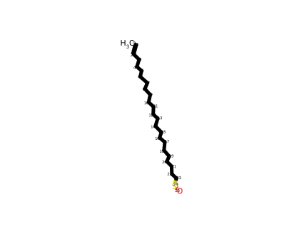 CC=CCCCCCCCCCCCCCCCCCCCCC[S+]=O